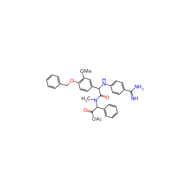 COc1cc(C(Nc2ccc(C(=N)N)cc2)C(=O)N(C)C(C(=O)OC(C)=O)c2ccccc2)ccc1OCc1ccccc1